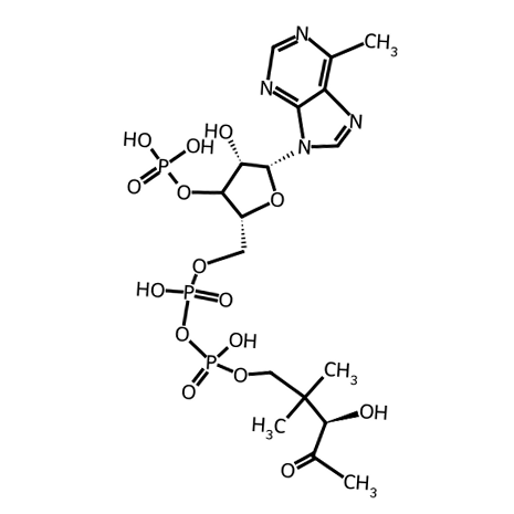 CC(=O)[C@H](O)C(C)(C)COP(=O)(O)OP(=O)(O)OC[C@H]1O[C@@H](n2cnc3c(C)ncnc32)[C@@H](O)C1OP(=O)(O)O